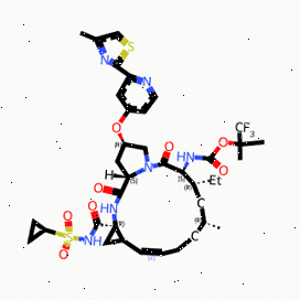 CC[C@@H]1C[C@H](C)CC/C=C\C2C[C@@]2(C(=O)NS(=O)(=O)C2CC2)NC(=O)[C@@H]2C[C@@H](Oc3ccnc(-c4nc(C)cs4)c3)CN2C(=O)[C@H]1NC(=O)OC(C)(C)C(F)(F)F